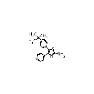 CC(C)(C)c1ccc(-c2sc(N)nc2-c2ccncc2)cc1